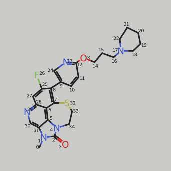 Cn1c(=O)n2c3c4c(c(-c5ccc(OCCCN6CCCCC6)nc5)c(F)cc4ncc31)SCC2